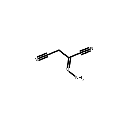 N#CCC(C#N)=NN